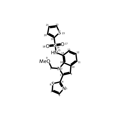 COCn1c(-c2nccs2)cc2cccc(NS(=O)(=O)c3cccs3)c21